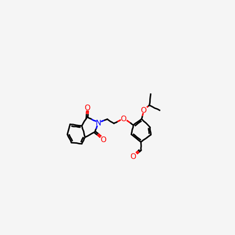 CC(C)Oc1ccc(C=O)cc1OCCN1C(=O)c2ccccc2C1=O